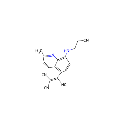 [C-]#[N+]C([N+]#[C-])=C([N+]#[C-])c1ccc(NCCC#N)c2nc(C)ccc12